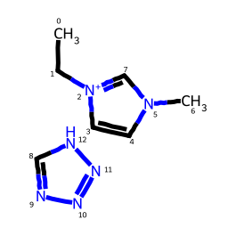 CC[n+]1ccn(C)c1.c1nnn[nH]1